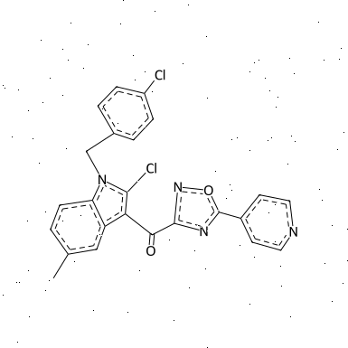 Cc1ccc2c(c1)c(C(=O)c1noc(-c3ccncc3)n1)c(Cl)n2Cc1ccc(Cl)cc1